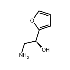 NC[C@H](O)c1ccco1